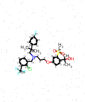 CC(C)(O)c1ccc(OCCCN(Cc2cccc(C(F)(F)F)c2Cl)CC(C)(C)c2ccc(F)cc2)cc1S(C)(=O)=O